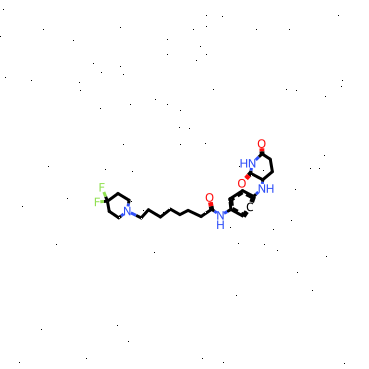 O=C1CCC(Nc2ccc(NC(=O)CCCCCCCN3CCC(F)(F)CC3)cc2)C(=O)N1